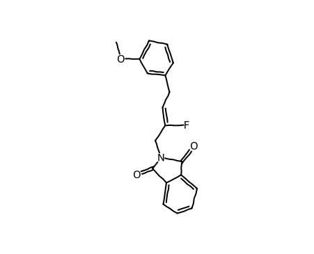 COc1cccc(C/C=C(\F)CN2C(=O)c3ccccc3C2=O)c1